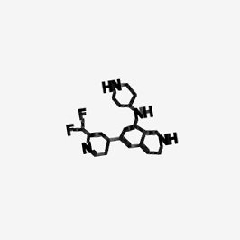 FC(F)C1=CC(c2cc(NC3CCNCC3)c3c(c2)=CCNC=3)CC=N1